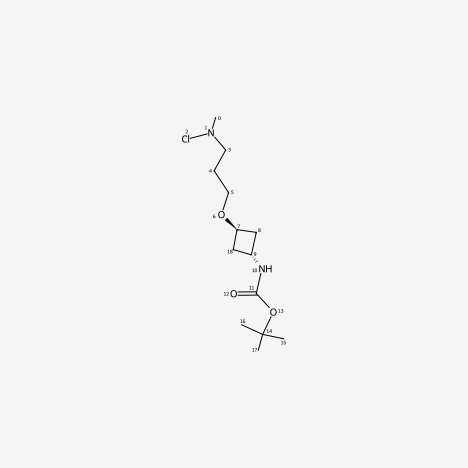 CN(Cl)CCCO[C@H]1C[C@H](NC(=O)OC(C)(C)C)C1